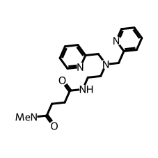 CNC(=O)CCC(=O)NCCN(Cc1ccccn1)Cc1ccccn1